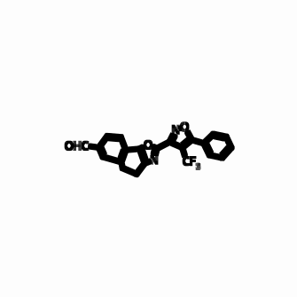 O=Cc1ccc2c(c1)CCc1nc(-c3noc(-c4ccccc4)c3C(F)(F)F)oc1-2